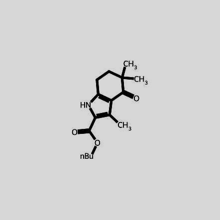 CCCCOC(=O)c1[nH]c2c(c1C)C(=O)C(C)(C)CC2